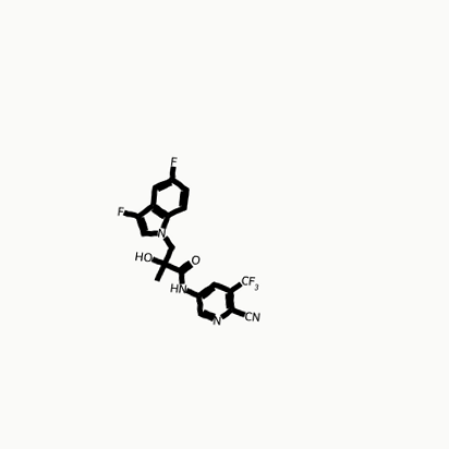 CC(O)(Cn1cc(F)c2cc(F)ccc21)C(=O)Nc1cnc(C#N)c(C(F)(F)F)c1